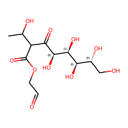 CC(O)C(C(=O)OCC=O)C(=O)[C@H](O)[C@@H](O)[C@H](O)[C@H](O)CO